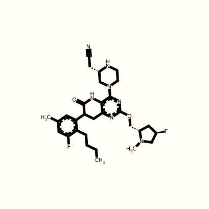 CCCCc1c(F)cc(C)cc1C1Cc2nc(OC[C@@H]3C[C@@H](F)CN3C)nc(N3CCN[C@@H](CC#N)C3)c2NC1=O